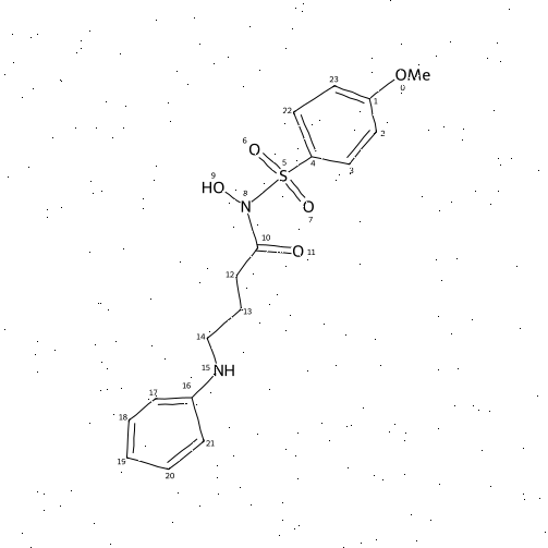 COc1ccc(S(=O)(=O)N(O)C(=O)CCCNc2ccccc2)cc1